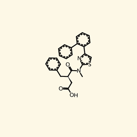 CN(C(=O)[C@@H](CC(=O)O)Cc1ccccc1)c1nc(-c2ccccc2-c2ccccc2)cs1